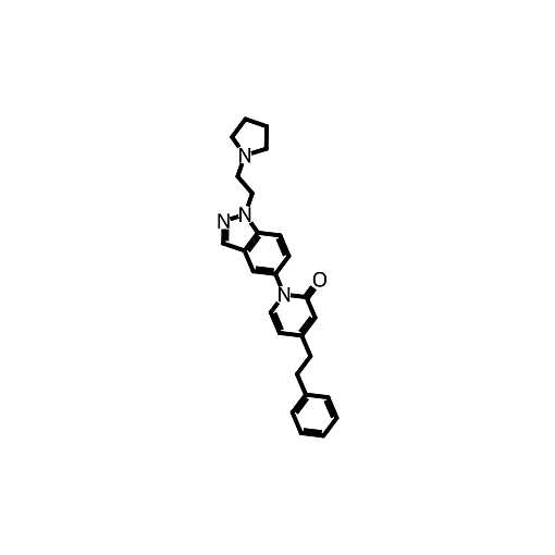 O=c1cc(CCc2ccccc2)ccn1-c1ccc2c(cnn2CCN2CCCC2)c1